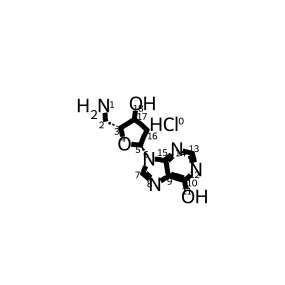 Cl.NC[C@H]1O[C@@H](n2cnc3c(O)ncnc32)CC1O